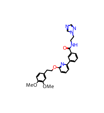 COc1ccc(CCOc2cccc(-c3cccc(C(=O)NCCn4cncn4)c3)n2)cc1OC